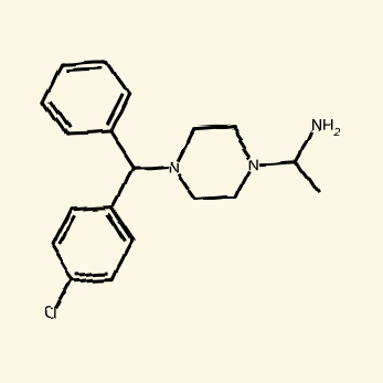 CC(N)N1CCN(C(c2ccccc2)c2ccc(Cl)cc2)CC1